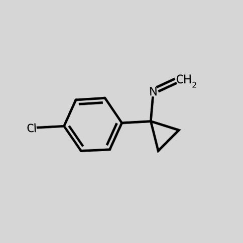 C=NC1(c2ccc(Cl)cc2)CC1